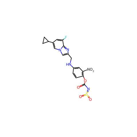 O=C(N=S(=O)=O)Oc1ccc(NCc2cn3cc(C4CC4)cc(F)c3n2)cc1[N+](=O)[O-]